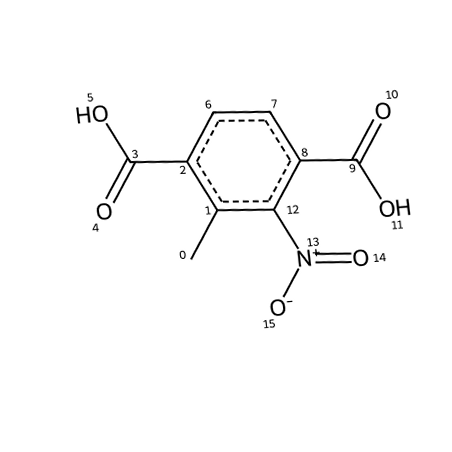 Cc1c(C(=O)O)ccc(C(=O)O)c1[N+](=O)[O-]